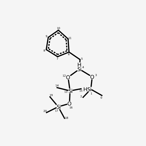 C[SiH](C)O[SiH](Cc1ccccc1)O[Si](C)(C)O[Si](C)(C)C